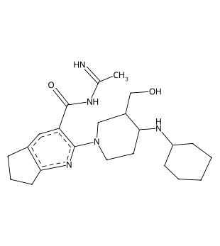 CC(=N)NC(=O)c1cc2c(nc1N1CCC(NC3CCCCC3)C(CO)C1)CCC2